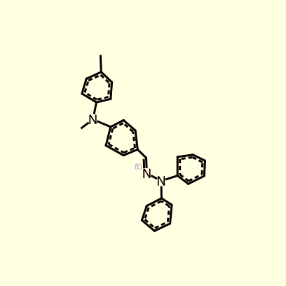 Cc1ccc(N(C)c2ccc(/C=N/N(c3ccccc3)c3ccccc3)cc2)cc1